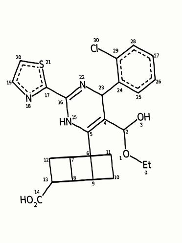 CCOC(O)C1=C(C23C4C5C2C2C3C4C52C(=O)O)NC(c2nccs2)=NC1c1ccccc1Cl